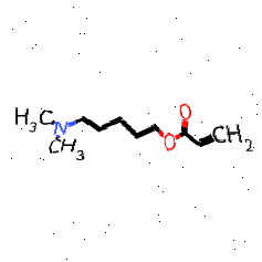 C=CC(=O)OCCCCCN(C)C